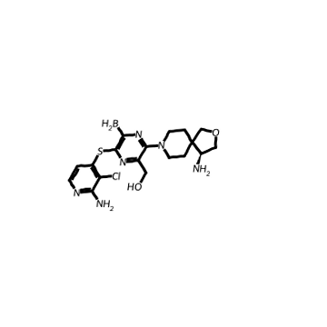 Bc1nc(N2CCC3(CC2)COC[C@H]3N)c(CO)nc1Sc1ccnc(N)c1Cl